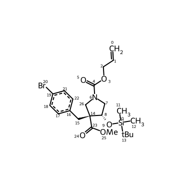 C=CCOC(=O)N1C[C@H](O[Si](C)(C)C(C)(C)C)[C@](Cc2ccc(Br)cc2)(C(=O)OC)C1